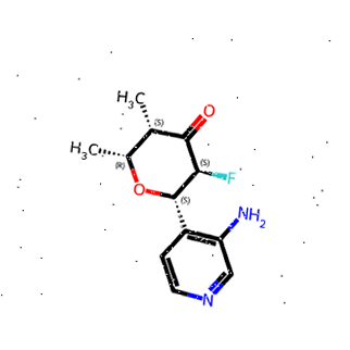 C[C@@H]1C(=O)[C@@H](F)[C@H](c2ccncc2N)O[C@@H]1C